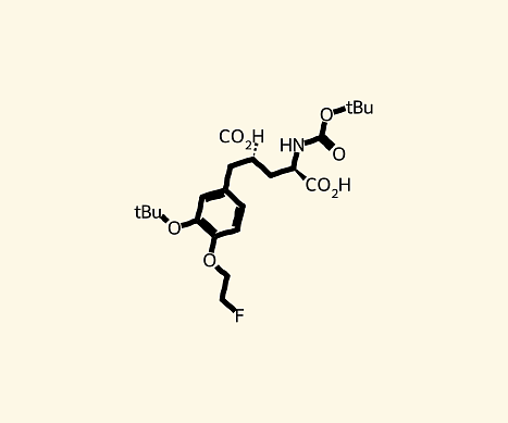 CC(C)(C)OC(=O)N[C@H](C[C@H](Cc1ccc(OCCF)c(OC(C)(C)C)c1)C(=O)O)C(=O)O